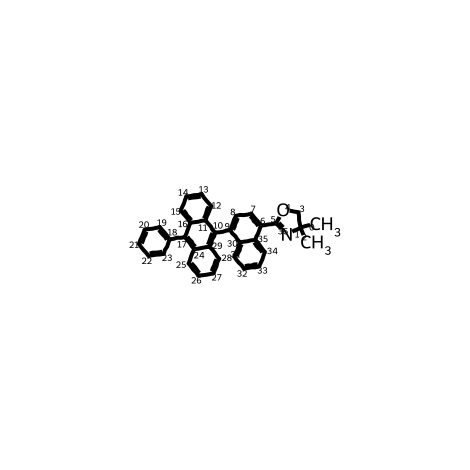 CC1(C)COC(c2ccc(-c3c4ccccc4c(-c4ccccc4)c4ccccc34)c3ccccc23)=N1